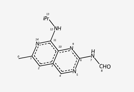 Cc1cc2cnc(NC=O)nc2c(NC(C)C)n1